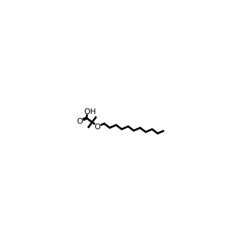 CCCCCCCCCCCOC(C)(C)C(=O)O